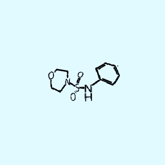 O=S(=O)(Nc1cc[c]cc1)N1CCOCC1